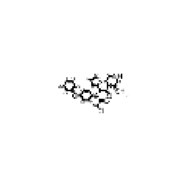 C[C@@H]1CNCCN1C(=O)C(c1cccs1)N(C(=O)CCl)c1ccc(Oc2ccccc2)cc1